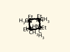 CCc1c2[nH]c(c1C)Cc1[nH]c(c(CC)c1C)Cc1[nH]c(c(CC)c1C)Cc1[nH]c(c(C)c1CC)C2